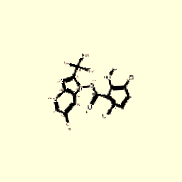 COc1c(Cl)ccc(Cl)c1C(=O)On1c(C(F)(F)F)nc2ncc(Cl)cc21